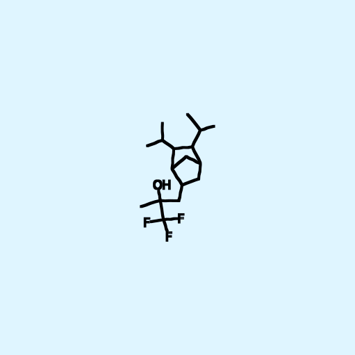 CC(C)C1C2CC(CC(C)(O)C(F)(F)F)C(C2)C1C(C)C